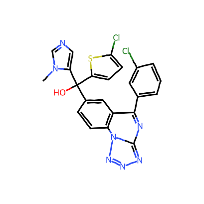 Cn1cncc1C(O)(c1ccc2c(c1)c(-c1cccc(Cl)c1)nc1nnnn12)c1ccc(Cl)s1